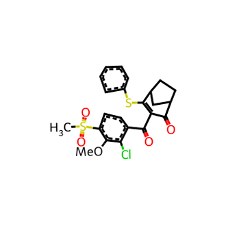 COc1c(S(C)(=O)=O)ccc(C(=O)C2=C(Sc3ccccc3)C3CCC(C3)C2=O)c1Cl